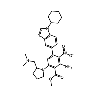 COC(=O)c1c(N2CCCC2CN(C)C)cc(-c2ccc3c(c2)ncn3C2CCCCC2)c([N+](=O)[O-])c1N